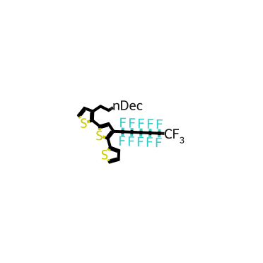 CCCCCCCCCCCCc1ccsc1-c1cc(C(F)(F)C(F)(F)C(F)(F)C(F)(F)C(F)(F)C(F)(F)F)c(-c2cccs2)s1